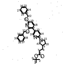 CC(C)(C)OC(=O)CCC1CCN(c2ccc(-c3ccc(OCc4ccccc4)nc3OCc3ccccc3)cn2)C1